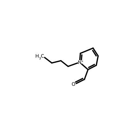 CCCC[n+]1ccccc1C=O